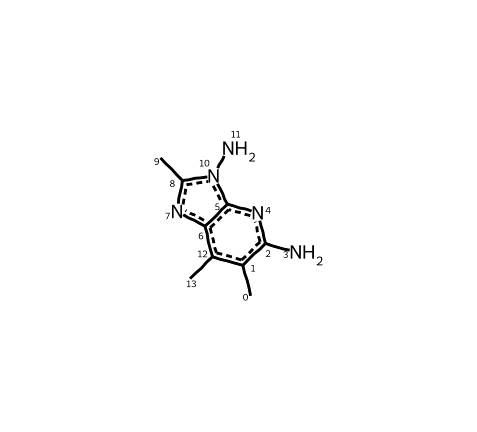 Cc1c(N)nc2c(nc(C)n2N)c1C